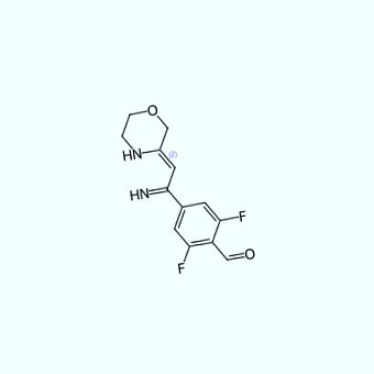 N=C(/C=C1/COCCN1)c1cc(F)c(C=O)c(F)c1